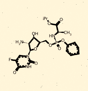 CC(C)OC(=O)[C@@H](C)N[P@@](=O)(OC[C@H]1O[C@@H](n2cc(F)c(=O)[nH]c2=O)[C@H](N)[C@@H]1O)Oc1ccccc1